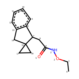 CCONC(=O)CC1c2ccccc2CC12CC2